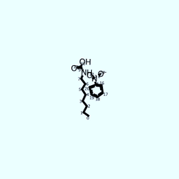 CCCCCCCCNC(=O)O.O=[N+]([O-])c1ccccc1